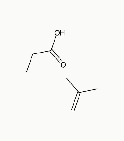 C=C(C)C.CCC(=O)O